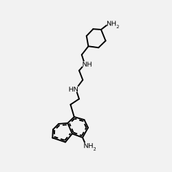 Nc1ccc(CCNCCNCC2CCC(N)CC2)c2ccccc12